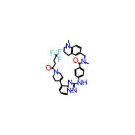 CN(Cc1ccc2c(c1)CCCN2C)C(=O)c1ccc(Nc2nc3c(C4=CCN(C(=O)CCC(F)(F)F)CC4)cccn3n2)cc1